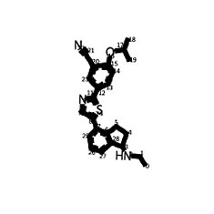 CCNC1CCc2c(-c3cnc(-c4ccc(OC(C)C)c(C#N)c4)s3)cccc21